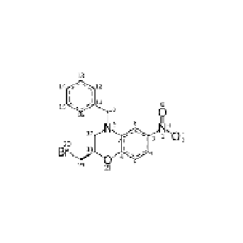 O=[N+]([O-])c1ccc2c(c1)N(Cc1ccccc1)C[C@H](CBr)O2